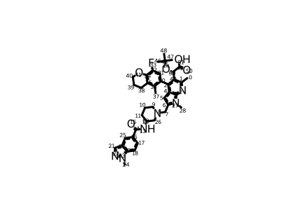 Cc1nc2c(cc(CN3CCC[C@H](NC(=O)c4ccc5c(cnn5C)c4)C3)n2C)c(-c2cc(F)c3c(c2C)CCCO3)c1[C@H](OC(C)(C)C)C(=O)O